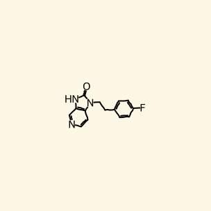 O=c1[nH]c2cnccc2n1CCc1ccc(F)cc1